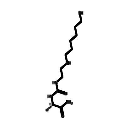 C[C@H](NC(=O)NCCNCCCCCCS)C(N)=O